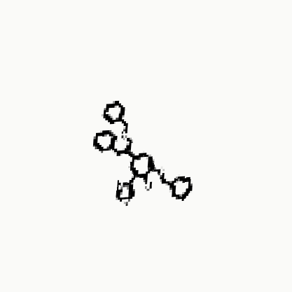 O=c1c(OCc2ccccc2)ccc(/C(=C/c2ccccc2)COCc2ccccc2)cc1-c1cscn1